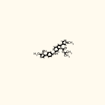 Cc1ncc(-c2ccc(Nc3cc4c(cn3)cc(-c3cnn(C)c3)n4C(=O)OC(C)C)cc2)n1C